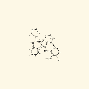 COc1c(Cl)cccc1Nc1c(-c2ccncc2OC[C@@H]2CCCO2)[nH]c2c1C(=O)NCC2